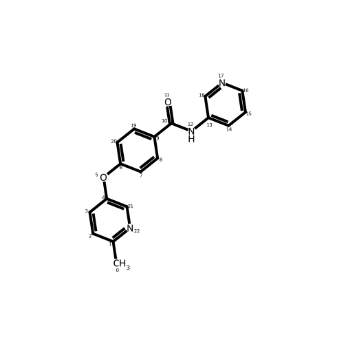 Cc1ccc(Oc2ccc(C(=O)Nc3cccnc3)cc2)cn1